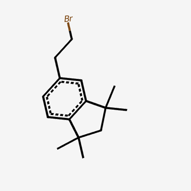 CC1(C)CC(C)(C)c2cc(CCBr)ccc21